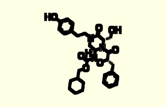 O=C1[C@H](CO)N2C(=O)[C@H](Cc3ccccc3)ON(C(=O)OCC3CCCCC3)[C@H]2CN1CCc1ccc(O)cc1